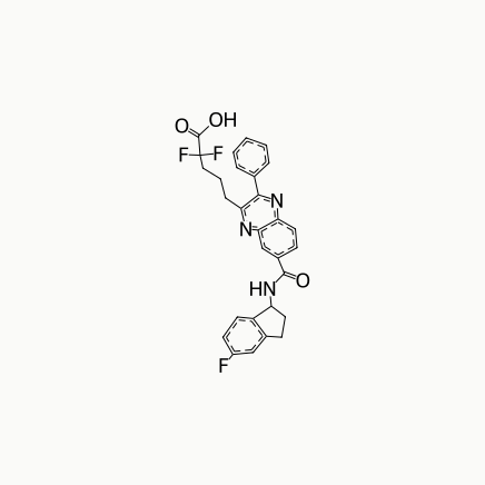 O=C(NC1CCc2cc(F)ccc21)c1ccc2nc(-c3ccccc3)c(CCCC(F)(F)C(=O)O)nc2c1